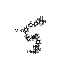 COc1cc(CN2CCC(c3ccc(C4CCC(=O)NC4=O)cc3)CC2)ccc1CCOc1cccc(-c2cc3c(-c4ccc(CNC(=O)c5noc(C(C)(C)C)n5)c(C)c4)ncnn3c2)c1